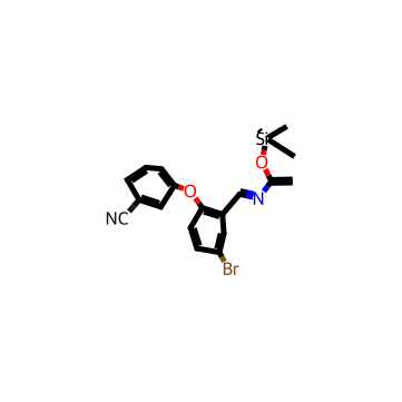 C=C(/N=C/c1cc(Br)ccc1Oc1cccc(C#N)c1)O[Si](C)(C)C